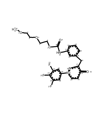 COCCOCCOC(=O)Nc1cccc(Cc2nn(-c3cc(F)c(F)c(F)c3)ccc2=O)c1